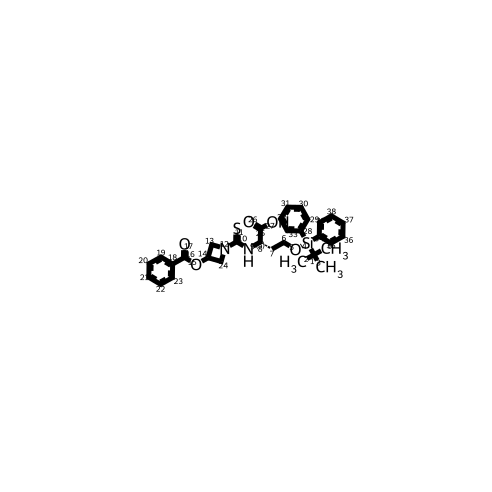 CC(C)(C)[Si](OCC[C@H](NC(=S)N1CC(OC(=O)c2ccccc2)C1)C(=O)O)(c1ccccc1)c1ccccc1